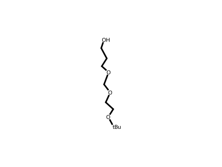 CC(C)(C)OCCOCOCCCO